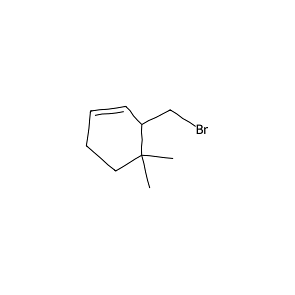 CC1(C)CCC=CC1CBr